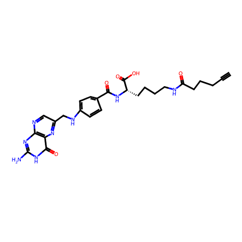 C#CCCCC(=O)NCCCC[C@H](NC(=O)c1ccc(NCc2cnc3nc(N)[nH]c(=O)c3n2)cc1)C(=O)O